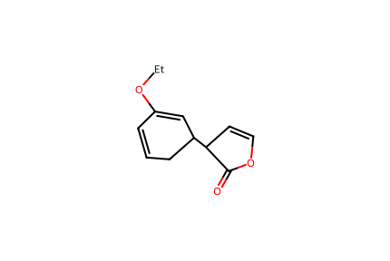 CCOC1=CC(C2C=COC2=O)CC=C1